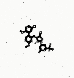 COc1ncc(Cl)cc1-c1cnc(SC)nc1CN1C(=O)O[C@H](c2cc(C)cc(C(F)(F)F)c2)[C@@H]1C